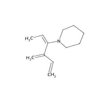 C=CC(=C)/C(=C\C)N1CCCCC1